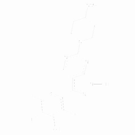 CNC1CCN(c2ncc3c(-c4cc(C(F)(F)F)c(F)c(O)c4F)nn(C)c3n2)CC1